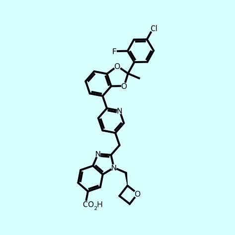 CC1(c2ccc(Cl)cc2F)Oc2cccc(-c3ccc(Cc4nc5ccc(C(=O)O)cc5n4C[C@@H]4CCO4)cn3)c2O1